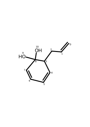 C=CCC1C=CC=CC1(O)O